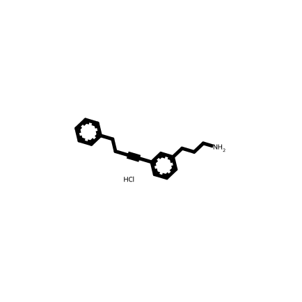 Cl.NCCCc1cccc(C#CCCc2ccccc2)c1